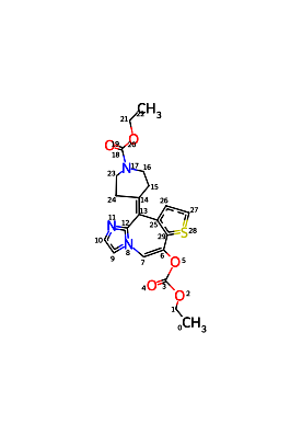 CCOC(=O)OC1=Cn2ccnc2C(=C2CCN(C(=O)OCC)CC2)c2ccsc21